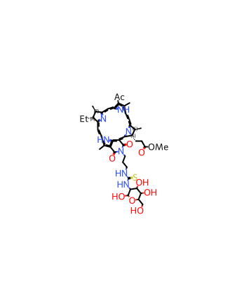 CC[C@H]1c2cc3[nH]c4c(c5nc(cc6[nH]c(cc(n2)[C@@H]1C)c(C(C)=O)c6C)[C@@H](C)[C@@H]5CCC(=O)OC)C(=O)N(CCCNC(=S)NC1C(O)OC(CO)C(O)C1O)C(=O)c4c3C